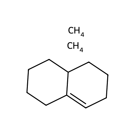 C.C.C1=C2CCCCC2CCC1